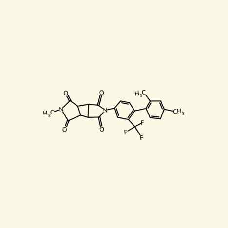 Cc1ccc(-c2ccc(N3C(=O)C4C5C(=O)N(C)C(=O)C5C4C3=O)cc2C(F)(F)F)c(C)c1